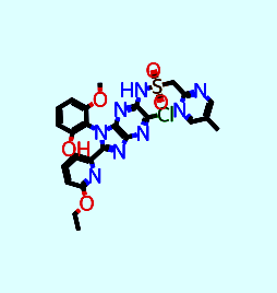 CCOC1=NC(c2nc3nc(Cl)c(NS(=O)(=O)Cc4ncc(C)cn4)nc3n2-c2c(O)cccc2OC)=C=C=C1